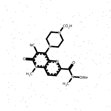 CON(C)C(=O)c1ccc2c(n1)c(N1CCN(C(=O)O)CC1)c(C#N)c(=O)n2C